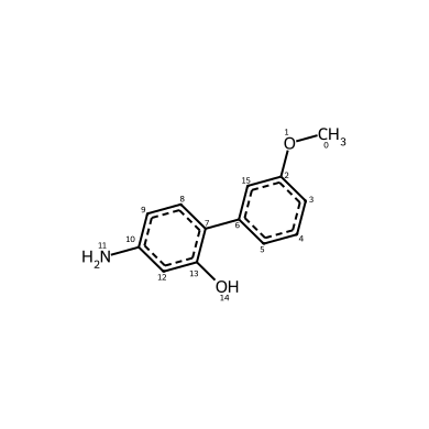 COc1cccc(-c2ccc(N)cc2O)c1